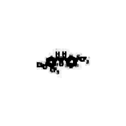 CCOc1ccc(NC(=O)Nc2cccc(SC(F)(F)F)c2)cc1C(F)(F)F